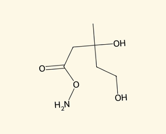 CC(O)(CCO)CC(=O)ON